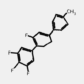 Cc1ccc(C2=CC(F)=C(c3cc(F)c(F)c(F)c3)CC2)cc1